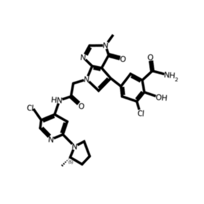 C[C@H]1CCCN1c1cc(NC(=O)Cn2cc(-c3cc(Cl)c(O)c(C(N)=O)c3)c3c(=O)n(C)cnc32)c(Cl)cn1